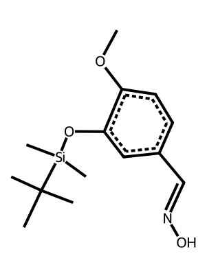 COc1ccc(C=NO)cc1O[Si](C)(C)C(C)(C)C